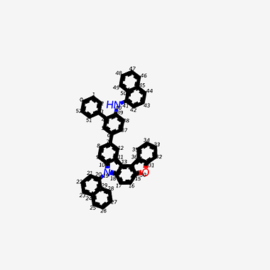 c1ccc(-c2cc(-c3ccc4c(c3)c3c5c(ccc3n4-c3cccc4ccccc34)oc3ccccc35)ccc2Nc2cccc3ccccc23)cc1